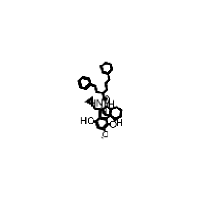 COc1cc(O)c2c3c1O[C@H]1CCC[C@H]4[C@@H](C2)[N+](CC2CC2)(NC(=O)C(CCCC2CCCCC2)CCc2ccccc2)CC[C@]314